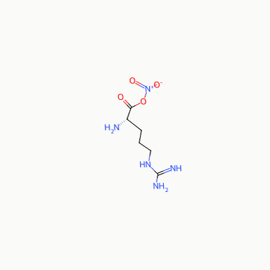 N=C(N)NCCC[C@H](N)C(=O)O[N+](=O)[O-]